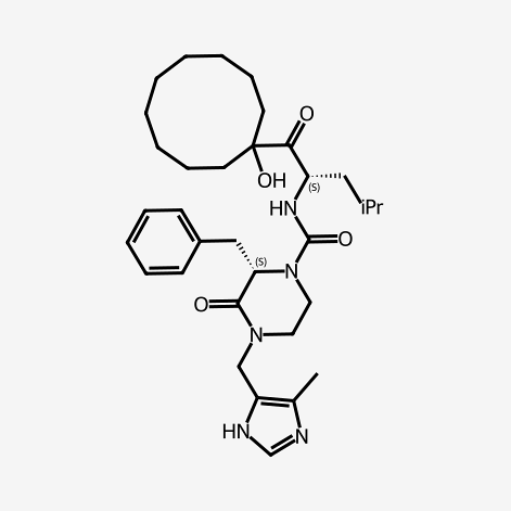 Cc1nc[nH]c1CN1CCN(C(=O)N[C@@H](CC(C)C)C(=O)C2(O)CCCCCCCCC2)[C@@H](Cc2ccccc2)C1=O